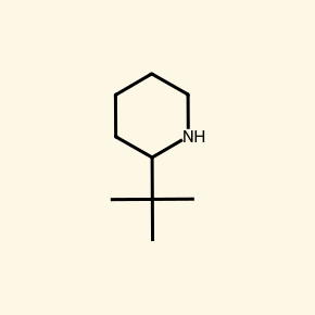 CC(C)(C)C1CCCCN1